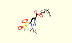 COC(=O)c1cc(S(=O)(=O)Cl)n(C)n1